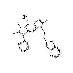 CC1=Cc2c(Br)c3c(cc2=C1CCC1=Cc2ccccc2C1)N(c1ccccc1)C(C)C=3C